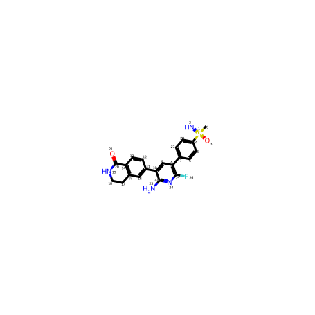 CS(=N)(=O)c1ccc(-c2cc(-c3ccc4c(c3)CCNC4=O)c(N)nc2F)cc1